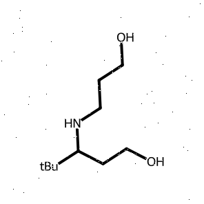 CC(C)(C)C(CCO)NCCCO